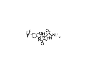 CN(C(=O)c1cc2nc(N)c3c(c2[nH]1)COC3)[C@@H]1COCc2cc(C(F)(F)F)ccc21